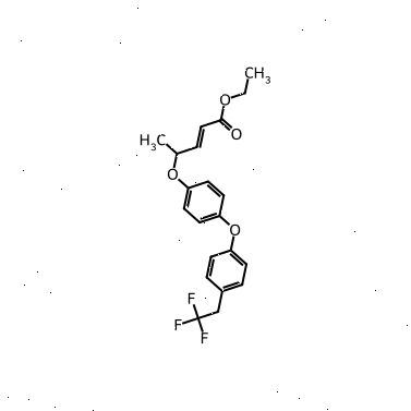 CCOC(=O)C=CC(C)Oc1ccc(Oc2ccc(CC(F)(F)F)cc2)cc1